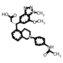 COc1cc([C@@H](CC(=O)O)c2cccc3c2CCN(c2ccc(NC(C)=O)cc2)C3)cc2nnn(C)c12